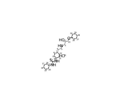 Cl.O[C@@H](CNCCc1ccc(NC(=S)Nc2ccccc2)cc1)COc1ccccc1